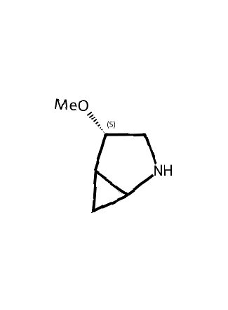 CO[C@@H]1CNC2CC21